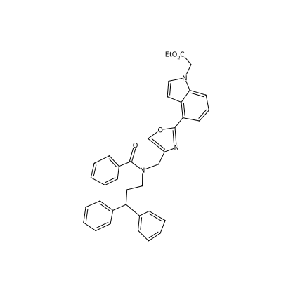 CCOC(=O)Cn1ccc2c(-c3nc(CN(CCC(c4ccccc4)c4ccccc4)C(=O)c4ccccc4)co3)cccc21